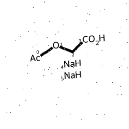 CC(=O)OCC(=O)O.[NaH].[NaH]